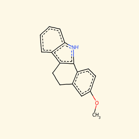 COc1ccc2c(c1)CCc1c-2[nH]c2ccccc12